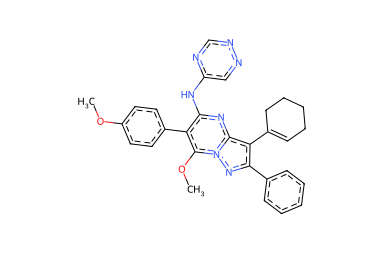 COc1ccc(-c2c(Nc3cnncn3)nc3c(C4=CCCCC4)c(-c4ccccc4)nn3c2OC)cc1